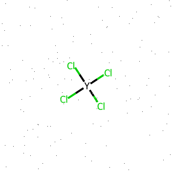 [Cl][Y]([Cl])([Cl])[Cl]